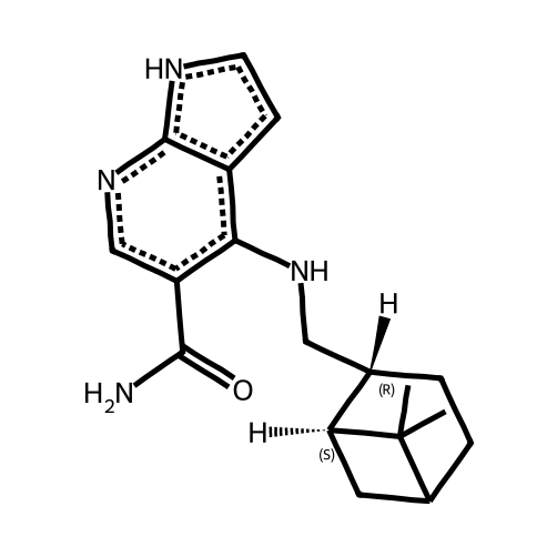 CC1(C)C2CC[C@@H](CNc3c(C(N)=O)cnc4[nH]ccc34)[C@@H]1C2